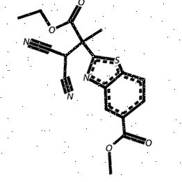 CCOC(=O)C(C)(c1nc2cc(C(=O)OC)ccc2s1)C(C#N)C#N